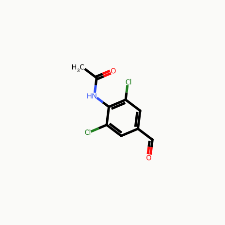 CC(=O)Nc1c(Cl)cc(C=O)cc1Cl